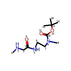 CNCC(=O)NCCN(C)C(=O)OC(C)(C)C